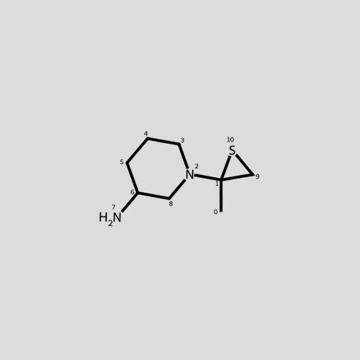 CC1(N2CCCC(N)C2)CS1